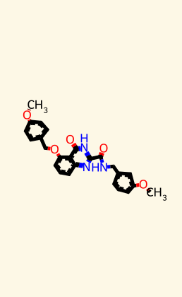 COc1ccc(COc2cccc3nc(C(=O)NCc4cccc(OC)c4)[nH]c(=O)c23)cc1